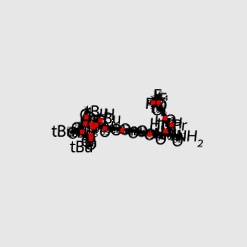 CC(C)[C@@H](NC(=O)CCCCC(=O)Oc1c(F)c(F)cc(F)c1F)C(=O)N[C@H](CCCNC(N)=O)C(=O)NCCOCCOCCOCCOCCOCCNC(=O)CCC(C(=O)OC(C)(C)C)N1CCN(CC(=O)OC(C)(C)C)CCN(CC(=O)OC(C)(C)C)CCN(CC(=O)OC(C)(C)C)CC1